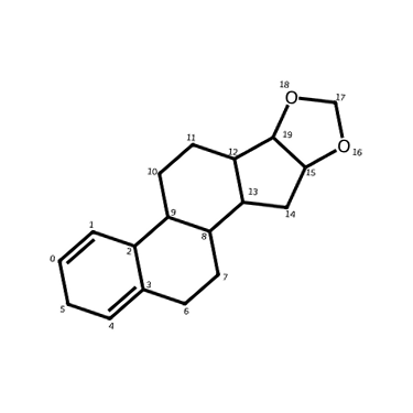 C1=CC2C(=CC1)CCC1C2CCC2C1CC1OCOC12